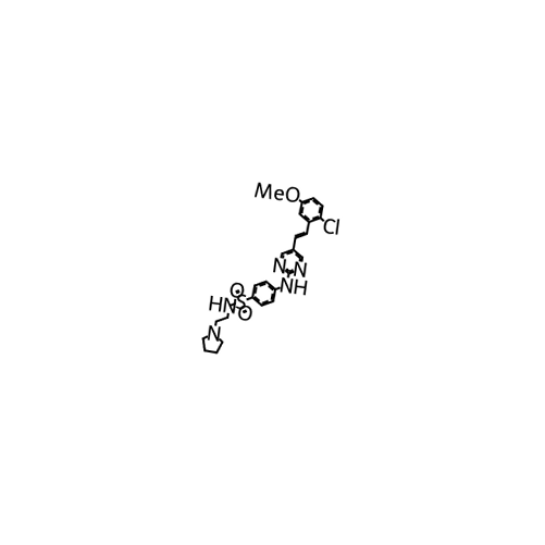 COc1ccc(Cl)c(C=Cc2cnc(Nc3ccc(S(=O)(=O)NCCN4CCCC4)cc3)nc2)c1